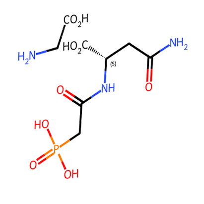 NC(=O)C[C@H](NC(=O)CP(=O)(O)O)C(=O)O.NCC(=O)O